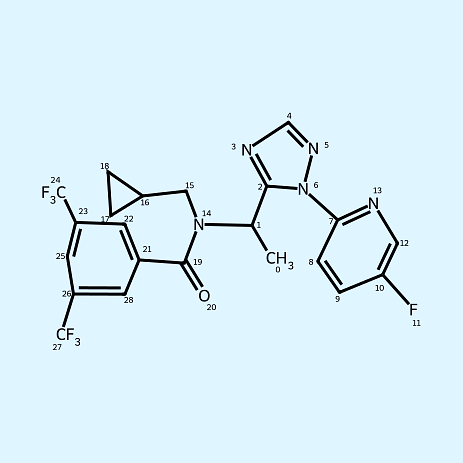 CC(c1ncnn1-c1ccc(F)cn1)N(CC1CC1)C(=O)c1cc(C(F)(F)F)cc(C(F)(F)F)c1